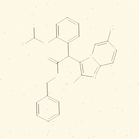 Cc1nc2ccc(Br)cn2c1C(C(=O)OCc1ccccc1)c1ccccc1OC(F)F